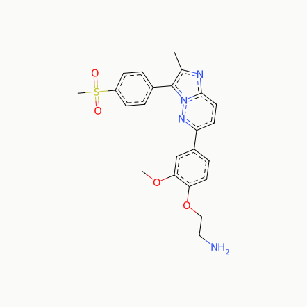 COc1cc(-c2ccc3nc(C)c(-c4ccc(S(C)(=O)=O)cc4)n3n2)ccc1OCCN